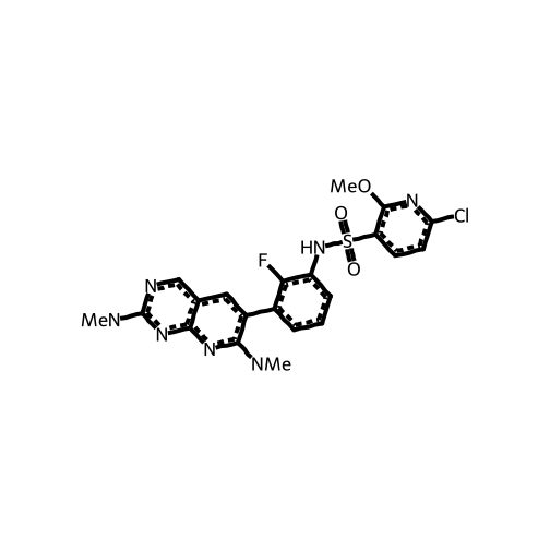 CNc1ncc2cc(-c3cccc(NS(=O)(=O)c4ccc(Cl)nc4OC)c3F)c(NC)nc2n1